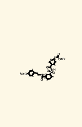 COc1ccc(CCNC(=O)c2cccc(S(=O)(=O)NC(=O)c3ccc(OC(=O)OC(C)C)nc3)c2)cc1